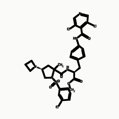 COC(=O)[C@H](Cc1ccc(NC(=O)c2c(Cl)cncc2Cl)cc1)NC(=O)C1(C)C[C@@H](N2CCC2)CN1S(=O)(=O)c1cccc(Cl)c1